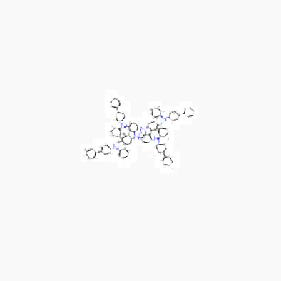 c1ccc(-c2ccc(N(Cc3ccc4c(c3)c3c(N(c5ccccc5)c5ccc(-c6ccccc6)cc5)ccc5c3n4c3ccc(N(c4ccccc4)c4ccc(-c6ccccc6)cc4)c4c6cc(CN(c7ccccc7)c7ccc(-c8ccccc8)cc7)ccc6n5c43)c3ccccc3)cc2)cc1